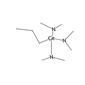 CC[CH2][Ge]([N](C)C)([N](C)C)[N](C)C